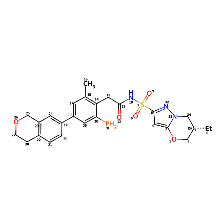 CC[C@@H]1COc2cc(S(=O)(=O)NC(=O)Cc3c(C)cc(-c4ccc5c(c4)COCC5)cc3P)nn2C1